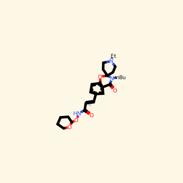 CCCCN1C(=O)c2cc(/C=C/C(=O)NOC3CCCCO3)ccc2OC12CCN(CC)CC2